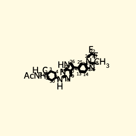 CC(=O)N[C@]1(C)CC[C@@H](Nc2ncc3c(-c4ccc5nc(C)n(CC(F)F)c5c4)c[nH]c3n2)CC1